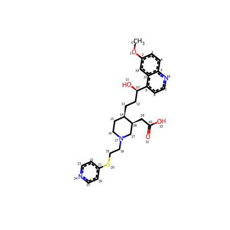 COc1ccc2nccc([C@H](O)CC[C@@H]3CCN(CCSc4ccncc4)C[C@@H]3CC(=O)O)c2c1